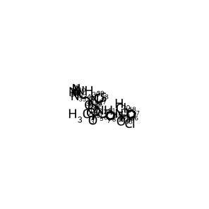 COC(=O)[C@H](Cc1ccc(NC(=O)c2c(Cl)cccc2Cl)cc1)NC(=O)[C@@H]1CSCCN1C(=O)CCc1nnn[nH]1